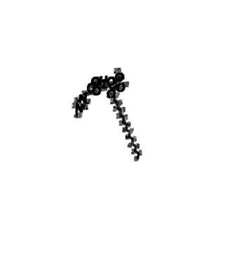 CCCCCCCCCCCCCCCCCCO[C@@H]1[C@@H](OC)[C@H](OC)O[C@@H]1COP(=O)(O)OCCN1CCN(C)CC1